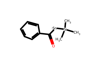 C[Si](C)(C)[Sn][C](=O)c1ccccc1